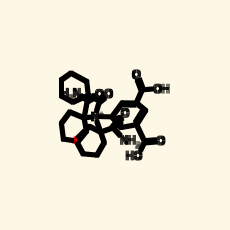 NC(=O)C1([N+](C(=O)C2CCCCC2)(c2cc(C(=O)O)cc(C(=O)O)c2)C2(C(N)=O)CCCCC2)CCCCC1